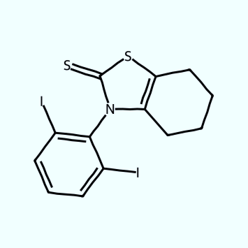 S=c1sc2c(n1-c1c(I)cccc1I)CCCC2